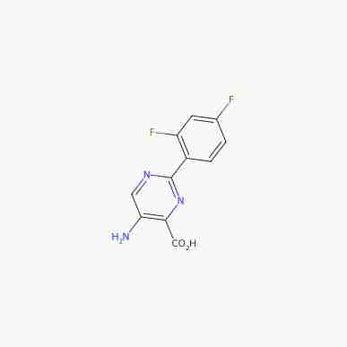 Nc1cnc(-c2ccc(F)cc2F)nc1C(=O)O